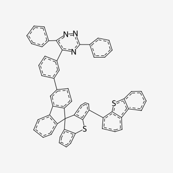 c1ccc(-c2nnc(-c3ccccc3)c(-c3cccc(-c4ccc5c(c4)-c4ccccc4C54c5ccccc5Sc5c(-c6cccc7c6sc6ccccc67)cccc54)c3)n2)cc1